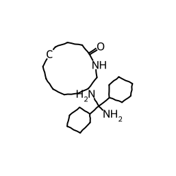 NC(N)(C1CCCCC1)C1CCCCC1.O=C1CCCCCCCCCCCN1